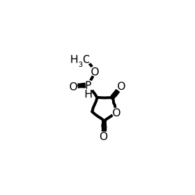 CO[PH](=O)C1CC(=O)OC1=O